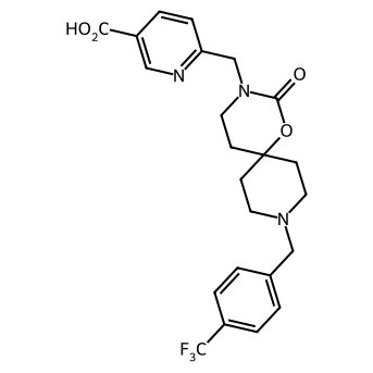 O=C(O)c1ccc(CN2CCC3(CCN(Cc4ccc(C(F)(F)F)cc4)CC3)OC2=O)nc1